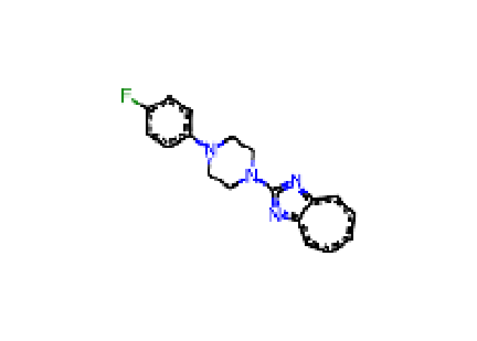 Fc1ccc(N2CCN(c3nc4cccccc-4n3)CC2)cc1